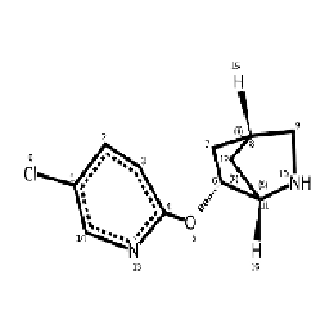 Clc1ccc(O[C@@H]2C[C@@H]3CN[C@H]2C3)nc1